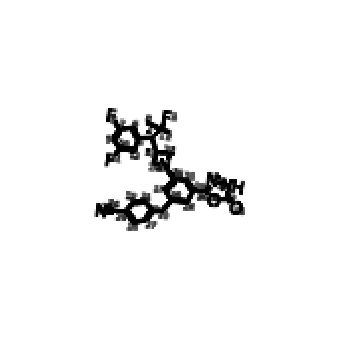 CC(C)(F)[C@H](c1cc(F)cc(F)c1)C1CN(c2cc(Cc3ccc(C#N)cc3)cc(-c3n[nH]c(=O)o3)c2)C1